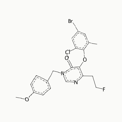 COc1ccc(Cn2cnc(CCF)c(Oc3c(C)cc(Br)cc3Cl)c2=O)cc1